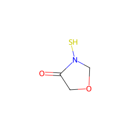 O=C1COCN1S